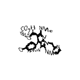 CNc1nc2c(c(NC)c(NC)n2Cc2nccs2)c(-c2ccc(Cl)cc2)c1[C@H](OC(C)(C)C)C(=O)O